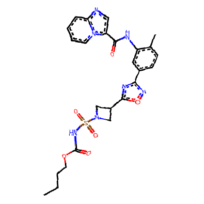 CCCCOC(=O)NS(=O)(=O)N1CC(c2nc(-c3ccc(C)c(NC(=O)c4cnc5ccccn45)c3)no2)C1